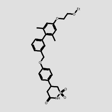 CCOCCOc1cc(C)c(-c2cccc(COc3ccc(C4CC(=O)NS(=O)(=O)C4)cc3)c2)c(C)c1